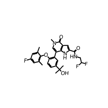 Cc1cc(F)cc(C)c1Oc1ccc(C(C)(C)O)cc1-c1cn(C)c(=O)c2cc(C(=O)NCC(F)F)[nH]c12